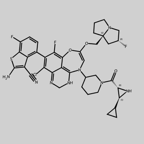 N#Cc1c(N)sc2c(F)ccc(-c3c(F)c4c5c(c3Cl)=NCNC=5N(C3CCCN(C(=O)[C@@H]5N[C@H]5C5CC5)C3)C=C(OC[C@@]35CCCN3C[C@H](F)C5)O4)c12